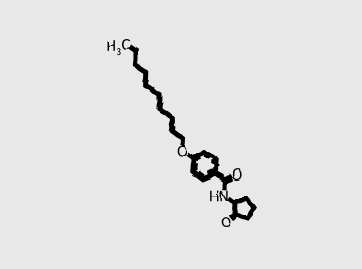 CCCCCCCCCCOc1ccc(C(=O)NC2CCCC2=O)cc1